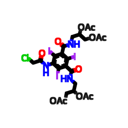 CC(=O)OCC(CNC(=O)c1c(I)c(NC(=O)CCl)c(I)c(C(=O)NCC(COC(C)=O)OC(C)=O)c1I)OC(C)=O